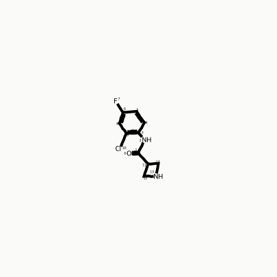 O=C(Nc1ccc(F)cc1Cl)C1CNC1